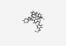 COc1ccc(C(CC(N)=O)c2ccc(N/C(=N\C3CCCCC3)NCc3ncn(Cc4ccc(Cl)cc4)c3C)cc2)cc1